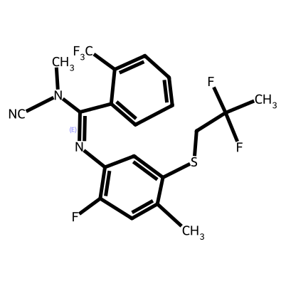 Cc1cc(F)c(/N=C(\c2ccccc2C(F)(F)F)N(C)C#N)cc1SCC(C)(F)F